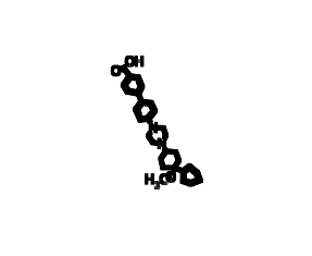 COC1(c2ccccc2)CCC(N2CCN(c3ccc(-c4ccc(C(=O)O)cc4)cc3)CC2)CC1